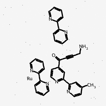 Cc1ccnc(-c2cc(C(=O)C#CCN)ccn2)c1.[Ru].c1ccc(-c2ccccn2)nc1.c1ccc(-c2ccccn2)nc1